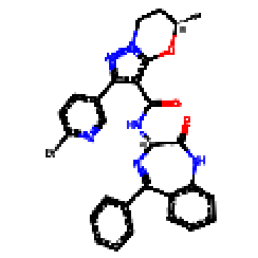 CCc1ccc(-c2nn3c(c2C(=O)N[C@H]2N=C(c4ccccc4)c4ccccc4NC2=O)O[C@@H](C)CC3)cn1